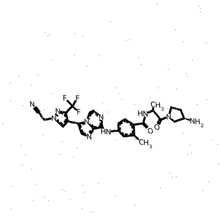 Cc1cc(Nc2nccn3c(-c4cn(CC#N)nc4C(F)(F)F)cnc23)ccc1C(=O)NC(C)C(=O)N1CC[C@@H](N)C1